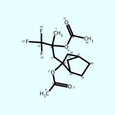 CC(=O)OC1(CC(C)(OC(C)=O)C(F)(F)F)CC2CCC1C2